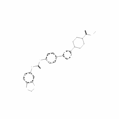 COC(=O)C1CCC(c2ncc(-c3ccc(NC(=O)Nc4ccc5c(c4)OCO5)cc3)s2)CC1